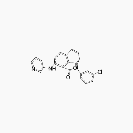 O=C1c2c3ccc(Nc4cccnc4)c2C(=O)N(c2cccc(Cl)c2)C1C=C3